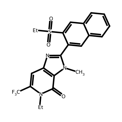 CCn1c(C(F)(F)F)cc2nc(-c3cc4ccccc4cc3S(=O)(=O)CC)n(C)c2c1=O